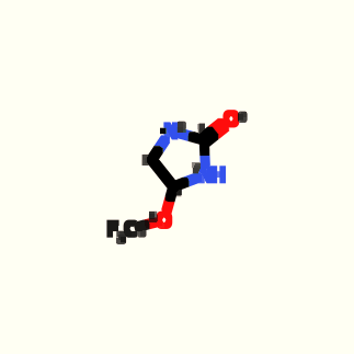 O=C1[N]CC(OC(F)(F)F)N1